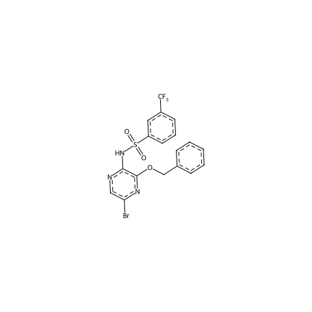 O=S(=O)(Nc1ncc(Br)nc1OCc1ccccc1)c1cccc(C(F)(F)F)c1